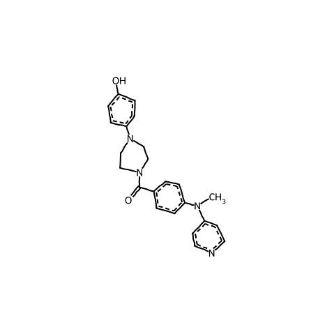 CN(c1ccncc1)c1ccc(C(=O)N2CCN(c3ccc(O)cc3)CC2)cc1